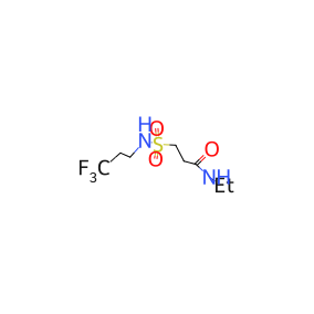 CCNC(=O)CCS(=O)(=O)NCCC(F)(F)F